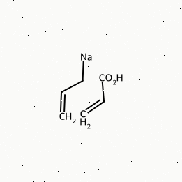 C=CC(=O)O.C=C[CH2][Na]